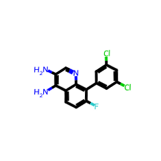 Nc1cnc2c(-c3cc(Cl)cc(Cl)c3)c(F)ccc2c1N